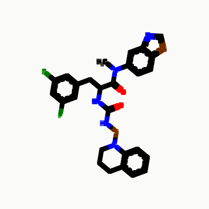 CN(C(=O)C(Cc1cc(F)cc(F)c1)NC(=O)NSN1CCCc2ccccc21)c1ccc2scnc2c1